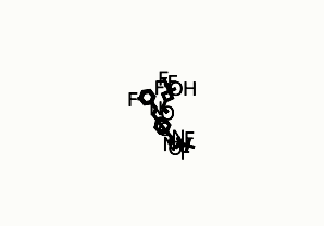 CC(F)(F)c1nc(C23CCC(CN(C(=O)C4CC(O)(C(F)(F)F)C4)c4cccc(F)c4)(CC2)CC3)no1